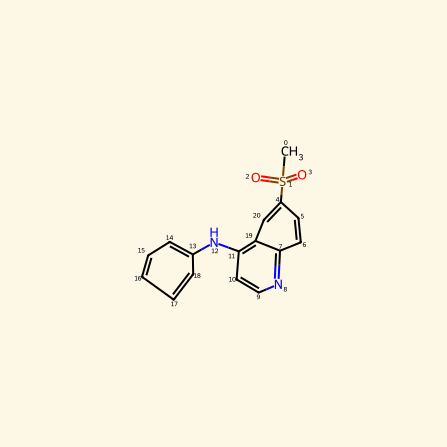 CS(=O)(=O)c1ccc2nccc(Nc3ccccc3)c2c1